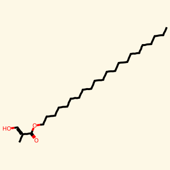 CCCCCCCCCCCCCCCCCCCCCCOC(=O)C(C)=CO